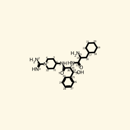 N=C(N)N1CCC(NC(=O)[C@H](NC(=O)C(N)CC2CCCCC2)[C@H](O)c2ccccc2)CC1